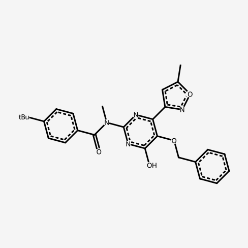 Cc1cc(-c2nc(N(C)C(=O)c3ccc(C(C)(C)C)cc3)nc(O)c2OCc2ccccc2)no1